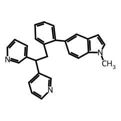 Cn1ccc2cc(-c3ccccc3CC(c3cccnc3)c3cccnc3)ccc21